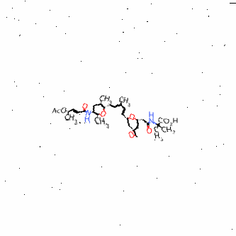 CC(=O)O[C@@H](C)C=CC(=O)N[C@@H]1C[C@H](C)[C@H](CC=C(C)C=C[C@@H]2C[C@]3(CO3)C[C@@H](CC(=O)NC(C)(C)C(=O)O)O2)O[C@@H]1C